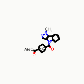 COC(=O)C12CCC(C(=O)n3c4ccccc4c4c3cnn4C)(CC1)CC2